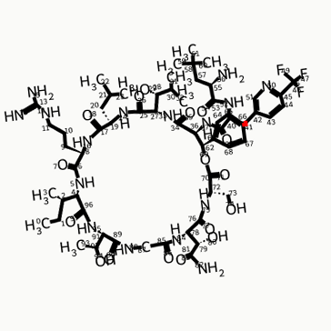 CC[C@H](C)[C@@H]1NC(=O)[C@@H](CCCNC(=N)N)NC(=O)[C@H](CC(C)C)NC(=O)[C@H]([C@H](O)C(C)C)NC(=O)[C@@H](NC(=O)[C@H](Cc2ccc(C(F)(F)F)nc2)NC(=O)[C@H](N)CC(C)(C)C)[C@@H](c2ccccc2)OC(=O)[C@H](CO)NC(=O)[C@H]([C@H](O)C(N)=O)NC(=O)CNC(=O)[C@H]([C@H](C)O)NC1=O